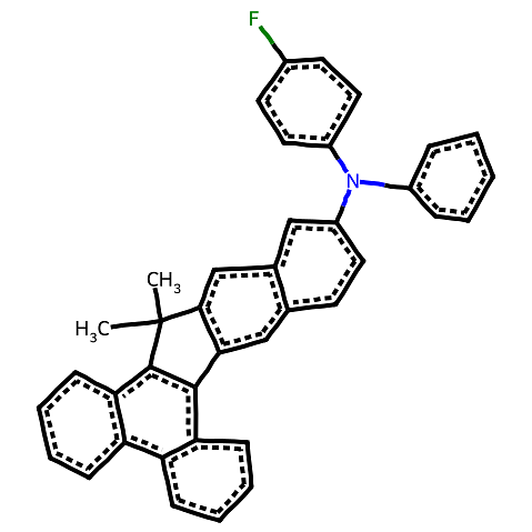 CC1(C)c2cc3cc(N(c4ccccc4)c4ccc(F)cc4)ccc3cc2-c2c1c1ccccc1c1ccccc21